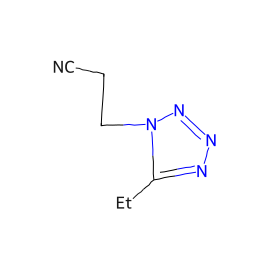 CCc1nnnn1CCC#N